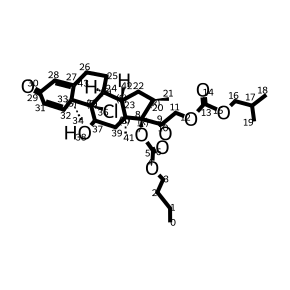 CCCCOC(=O)O[C@]1(C(=O)COC(=O)OCC(C)C)[C@H](C)C[C@H]2[C@@H]3CCC4=CC(=O)C=C[C@]4(C)[C@@]3(Cl)C(O)C[C@@]21C